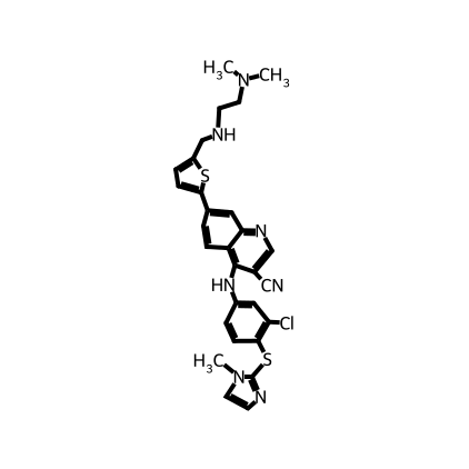 CN(C)CCNCc1ccc(-c2ccc3c(Nc4ccc(Sc5nccn5C)c(Cl)c4)c(C#N)cnc3c2)s1